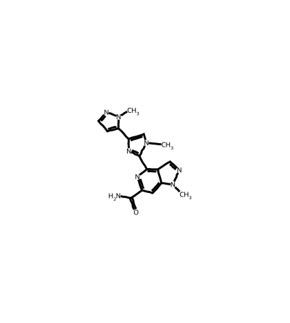 Cn1cc(-c2ccnn2C)nc1-c1nc(C(N)=O)cc2c1cnn2C